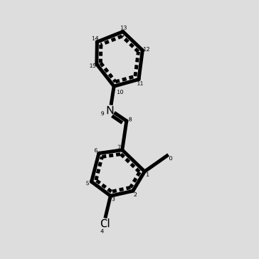 Cc1cc(Cl)ccc1C=Nc1ccccc1